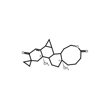 C[C@@]12CCCC(=O)OCCC1C1C3CC3C3=CC(=O)C4(CC4)C[C@]3(C)C1CC2